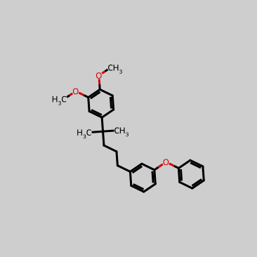 COc1ccc(C(C)(C)CCCc2cccc(Oc3ccccc3)c2)cc1OC